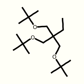 CCC(COC(C)(C)C)(COC(C)(C)C)COC(C)(C)C